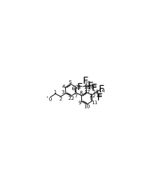 [CH2]CCc1cccc(-c2cccc(C(F)(F)F)c2C(F)(F)F)c1